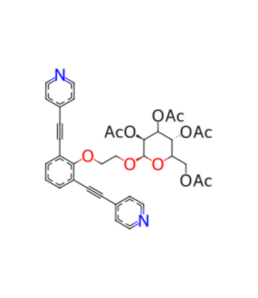 CC(=O)OCC1O[C@@H](OCCOc2c(C#Cc3ccncc3)cccc2C#Cc2ccncc2)[C@@H](OC(C)=O)C(OC(C)=O)[C@@H]1OC(C)=O